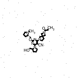 C=CC(=O)N1CC2(CCN(c3nc(OC[C@@H]4CCCN4C)nc(N4CCCC4CO)c3C#N)C2)C1